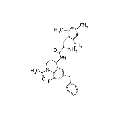 CC(=O)N1CC[C@@H](NC(=O)[C@@H](N)Cc2c(C)cc(C)cc2C)c2cc(Cc3ccccc3)cc(F)c21